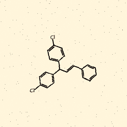 Clc1ccc([C](C=Cc2ccccc2)c2ccc(Cl)cc2)cc1